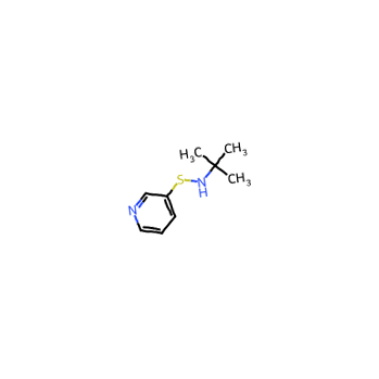 CC(C)(C)NSc1cccnc1